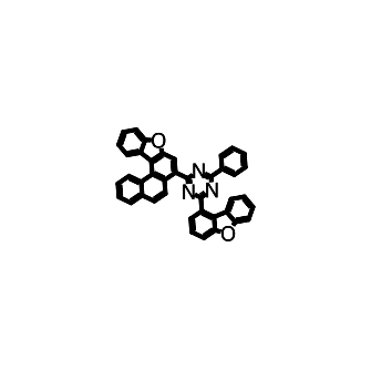 c1ccc(-c2nc(-c3cc4oc5ccccc5c4c4c3ccc3ccccc34)nc(-c3cccc4oc5ccccc5c34)n2)cc1